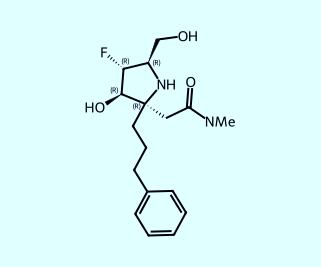 CNC(=O)C[C@@]1(CCCc2ccccc2)N[C@H](CO)[C@@H](F)[C@@H]1O